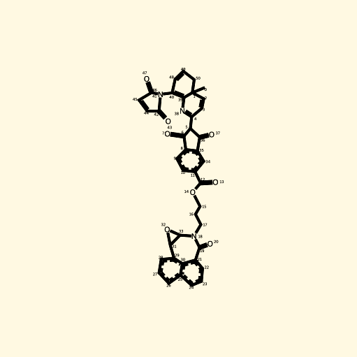 CC12C=CC(C3C(=O)c4ccc(C(=O)OCCCN5C(=O)c6cccc7cccc(c67)C6OC65)cc4C3=O)=NC1=C(N1C(=O)C=CC1=O)C=CC2